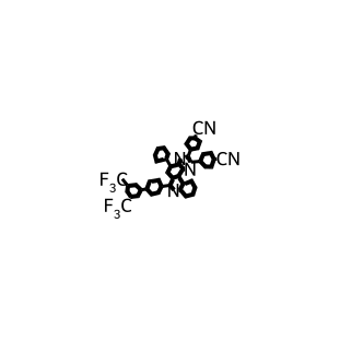 N#Cc1ccc(-c2nc3c(-c4ccccc4)cc4c(-c5ccc(-c6cc(C(F)(F)F)cc(C(F)(F)F)c6)cc5)nc5ccccc5c4c3nc2-c2ccc(C#N)cc2)cc1